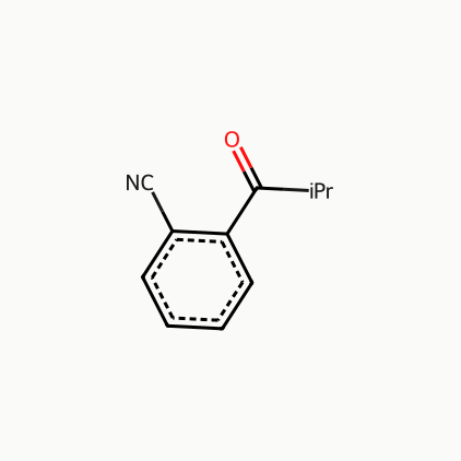 CC(C)C(=O)c1ccccc1C#N